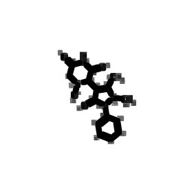 Cc1c(C2C(=O)NC(=O)C[S+]2[O-])c(=O)n(-c2ccccc2)n1C